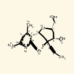 CC#CC1(F)[C@@H](O)[C@@H](CO)O[C@H]1n1c(C)cc(N)nc1=O